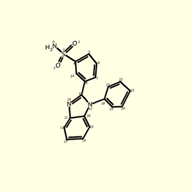 NS(=O)(=O)c1cccc(-c2nc3ccccc3n2-c2ccccc2)c1